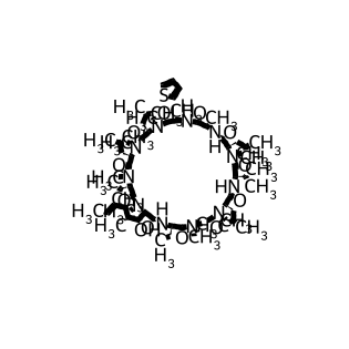 C/C=C/C[C@@H](C)[C@@H](O)[C@H]1C(=O)N[C@@H](CC)C(=O)N(C)CC(=O)N(C)[C@@H](CC(C)C)C(=O)N[C@@H](C(C)C)C(=O)N(C)[C@@H](CC(C)C)C(=O)N[C@@H](C)C(=O)N[C@H](C)C(=O)N(C)[C@@H](CC(C)C)C(=O)N(C)[C@@H](CC(C)C)C(=O)N(C)[C@@H](C(C)C)C(=O)N1C.c1ccsc1